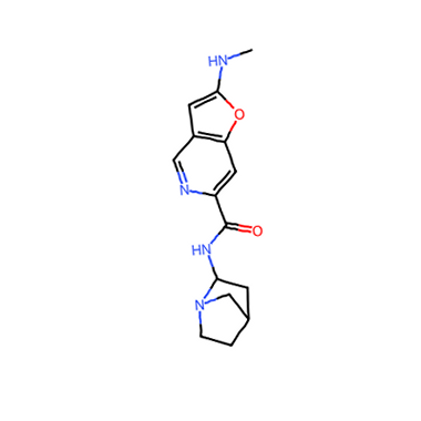 CNc1cc2cnc(C(=O)NC3CC4CCN3C4)cc2o1